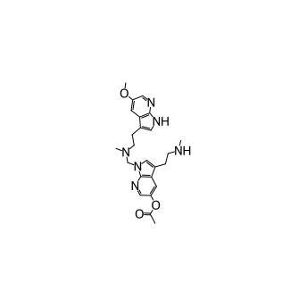 CNCCc1cn(CN(C)CCc2c[nH]c3ncc(OC)cc23)c2ncc(OC(C)=O)cc12